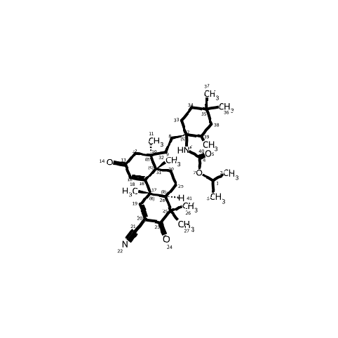 CC(C)OC(=O)N[C@]1(CC[C@]2(C)CC(=O)C=C3[C@@]4(C)C=C(C#N)C(=O)C(C)(C)[C@@H]4CC[C@]32C)CCC(C)(C)CC1C